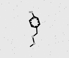 COOCc1ccc(O)cc1